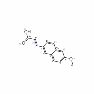 COc1ccc2cc(/C=C/C(=O)O)ccc2c1